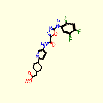 O=C(O)CC1CCC(c2ccc(NC(=O)c3nnc(Nc4cc(F)c(F)cc4F)o3)cn2)CC1